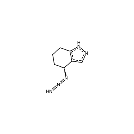 N=[N+]=N[C@H]1CCCc2[nH]ncc21